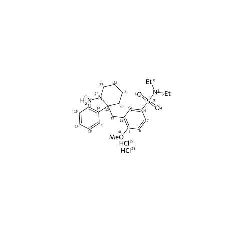 CCN(CC)S(=O)(=O)c1ccc(OC)c(CC2(c3ccccc3)CCCCN2N)c1.Cl.Cl